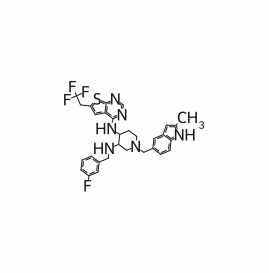 Cc1cc2cc(CN3CCC(Nc4ncnc5sc(CC(F)(F)F)cc45)C(NCc4cccc(F)c4)C3)ccc2[nH]1